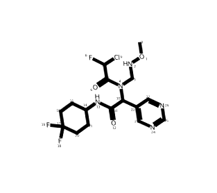 CONCN(C(=O)C(F)Cl)C(C(=O)NC1CCC(F)(F)CC1)c1cncnc1